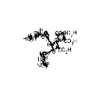 N#C[C@@H]1CC(F)(F)CN1C(=O)CNC(=O)c1ccnc2ccc(OCCCC(=O)N3CCN(CC(=O)O)CCN(C(=O)CN4CCN(CC(=O)O)CCN(CC(=O)O)CCN(CC(=O)O)CC4)CCN(C(=O)CCCOc4ccc5nccc(C(=O)NCC(=O)N6CC(F)(F)C[C@H]6C#N)c5c4)CC3)cc12.O=C(O)C(F)(F)F